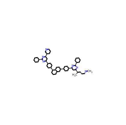 C=N/C=C\C=C(/C)c1cc(-c2ccc(-c3ccc4c(-c5ccc(-c6cc(-c7cccnc7)nc(-c7ccccc7)n6)cc5)cccc4c3)cc2)nc(-c2ccccc2)n1